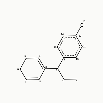 CCC(C1=CCCC=C1)c1ccc(Cl)cc1